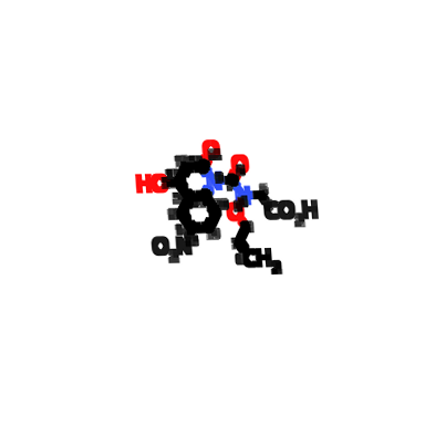 C=CCON(CC(=O)O)C(=O)n1c(=O)cc(O)c2cc([N+](=O)[O-])ccc21